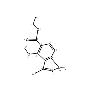 CCOC(=O)c1ccc2c(c(I)nn2C)c1OC